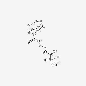 O=C(OCCOC(=O)C(F)(F)S(=O)(=O)O)C1C2CC3CC(C2)CC1C3